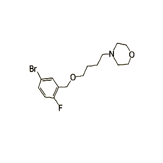 Fc1ccc(Br)cc1COCCCCN1CCOCC1